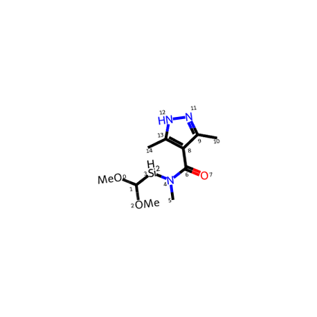 COC(OC)[SiH2]N(C)C(=O)c1c(C)n[nH]c1C